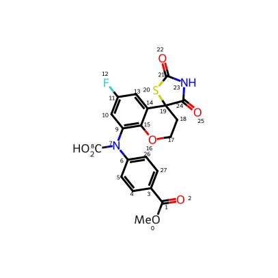 COC(=O)c1ccc(N(C(=O)O)c2cc(F)cc3c2OCCC32SC(=O)NC2=O)cc1